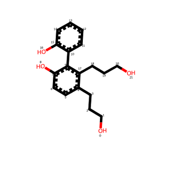 OCCCc1ccc(O)c(-c2ccccc2O)c1CCCO